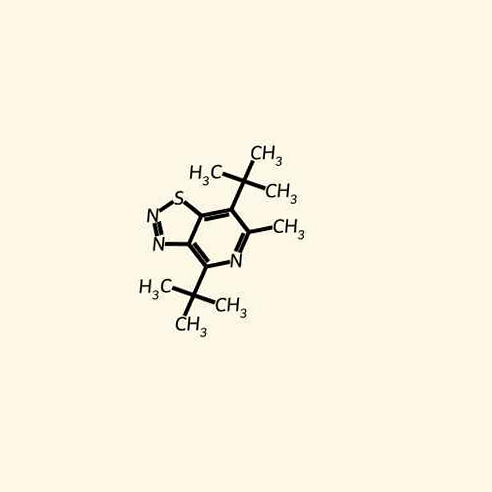 Cc1nc(C(C)(C)C)c2nnsc2c1C(C)(C)C